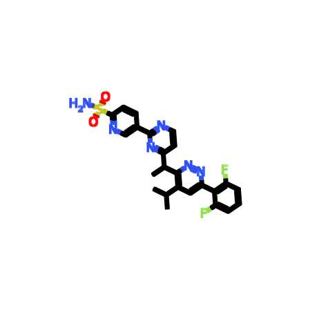 CC(C)c1cc(-c2c(F)cccc2F)nnc1C(C)c1ccnc(-c2ccc(S(N)(=O)=O)nc2)n1